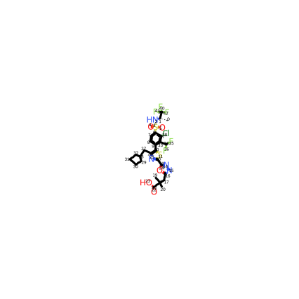 C[C@H](NS(=O)(=O)c1ccc(-c2sc(-c3nnc(CC(C)(C)C(=O)O)o3)nc2CC2CCCC2)c(C(F)F)c1Cl)C(F)(F)F